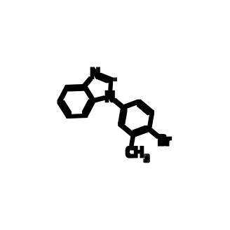 Cc1cc(-n2[c]nc3ccccc32)ccc1Br